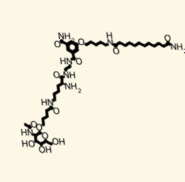 CC(=O)NC1C(OCCCCC(=O)NCCCC[C@H](N)C(=O)NCCNC(=O)c2cc(OCCCCCNC(=O)CCCCCCCCCCC(N)=O)cc(C(N)=O)c2)OC(CO)C(O)C1O